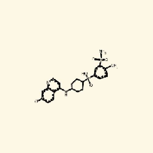 Cc1ccc([N+]([O-])(O)C2CCC(Nc3ccnc4cc(Cl)ccc34)CC2)cc1S(N)(=O)=O